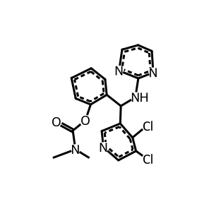 CN(C)C(=O)Oc1ccccc1C(Nc1ncccn1)c1cncc(Cl)c1Cl